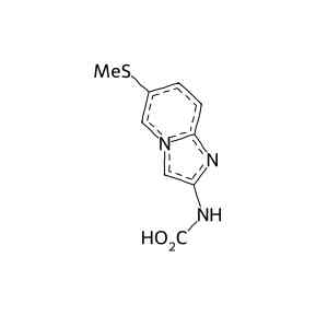 CSc1ccc2nc(NC(=O)O)cn2c1